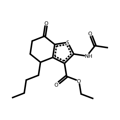 CCCCC1CCC(=O)c2sc(NC(C)=O)c(C(=O)OCC)c21